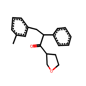 Cc1cccc(CC(C(=O)C2CCOC2)c2ccccc2)c1